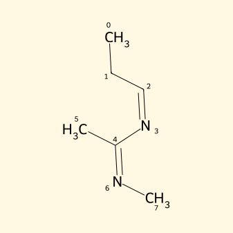 CC/C=N\C(C)=N/C